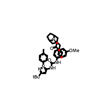 COc1cccc(C(=O)CN2C3CCC2CC(Cc2ccc(NC(=O)Nc4cc(C(C)(C)C)nn4-c4ccc(C)cc4)cc2)C3)c1